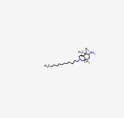 CCCCCCCCCCCCN1CC=C2C(C)(C)[C@@H](N)CC[C@]2(C)C1